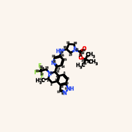 C[C@@H]1Cc2c(ccc3[nH]ncc23)C(c2ccc(NC3CCN(C(=O)OC(C)(C)C)C3)cn2)N1CC(F)(F)F